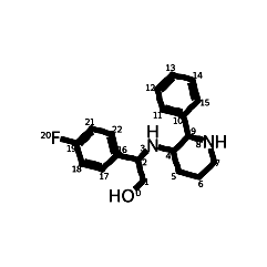 OCC(NC1CCCNC1c1ccccc1)c1ccc(F)cc1